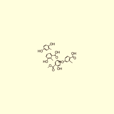 COC(=O)c1ccccc1O.Cc1c(O)cccc1C(=O)O.Cc1cc(O)ccc1C(=O)O.Cc1cc(O)ccc1O